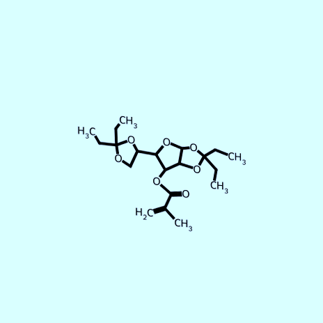 C=C(C)C(=O)OC1C(C2COC(CC)(CC)O2)OC2OC(CC)(CC)OC21